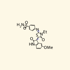 CCN1C(=O)/C(=C2/C(=O)Nc3ccc(OC)cc32)S/C1=N\c1ccc(S(N)(=O)=O)cc1